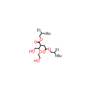 CCCCC(CC)COC(=O)CC(C(=O)OCC(CC)CCCC)C(CO)OCCO